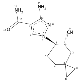 N#C[C@@H]1CC2(CC[C@H]1n1cc(C(N)=O)c(N)n1)CC2